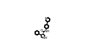 O=C(Nc1ccc(-c2cccnc2)cc1)[C@H]1CNCC1c1ccccc1